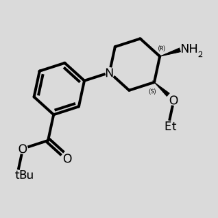 CCO[C@H]1CN(c2cccc(C(=O)OC(C)(C)C)c2)CC[C@H]1N